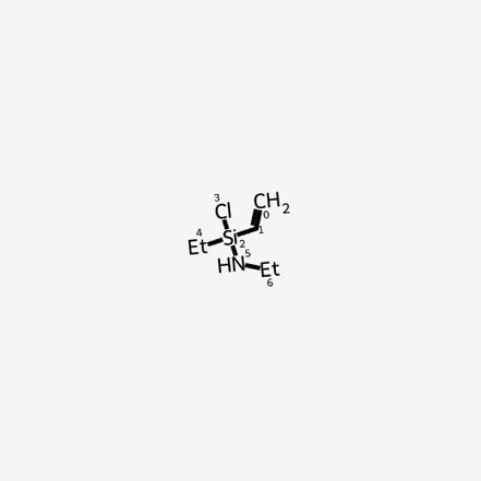 C=C[Si](Cl)(CC)NCC